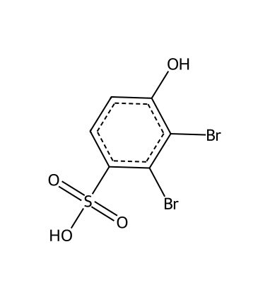 O=S(=O)(O)c1ccc(O)c(Br)c1Br